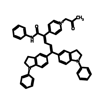 CC(=O)C[n+]1ccc(/C(=C\C=C(c2ccc3c(c2)CCN3c2ccccc2)c2ccc3c(c2)CCN3c2ccccc2)C(=O)Nc2ccccc2)cc1